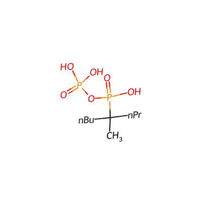 CCCCC(C)(CCC)P(=O)(O)OP(=O)(O)O